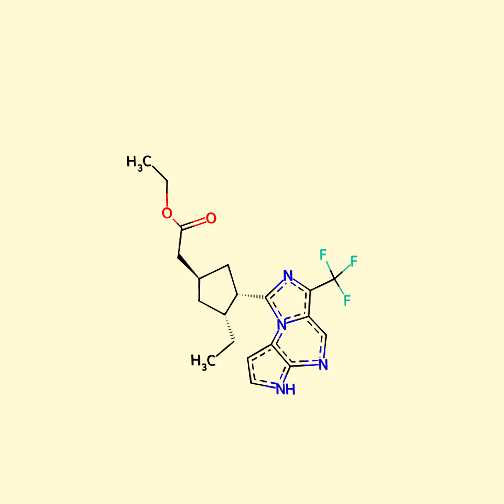 CCOC(=O)C[C@@H]1C[C@@H](CC)[C@@H](c2nc(C(F)(F)F)c3cnc4[nH]ccc4n23)C1